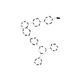 N#Cc1ccc(-c2ccc(-c3cccc4ccc(-c5ccc(-c6nc(-c7ccccc7)nc(-c7ccccc7)n6)cc5)cc34)cc2)cc1